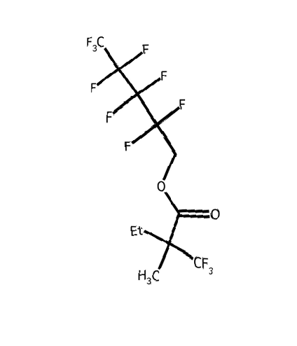 CCC(C)(C(=O)OCC(F)(F)C(F)(F)C(F)(F)C(F)(F)F)C(F)(F)F